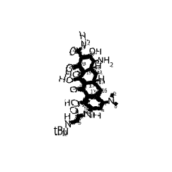 CN(C)c1cc(NC(=O)CNC(C)(C)C)c(O)c2c1C[C@H]1C[C@H]3[C@H](N)C(O)=C(C(N)=O)C(=O)[C@@]3(O)C(O)=C1C2=O